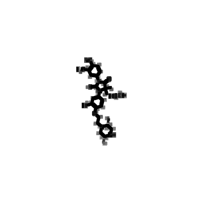 CCc1cc(N2C(=S)N(c3ccc(C#N)c(C(F)(F)F)c3)C(=O)C2(C)C)ccc1OCCN1C[C@@H](C)NC[C@H]1C.Cl.Cl